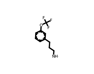 [NH]CCCc1cccc(OC(F)(F)F)c1